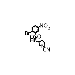 N#CN1CCC(NS(=O)(=O)c2cc([N+](=O)[O-])ccc2Br)C1